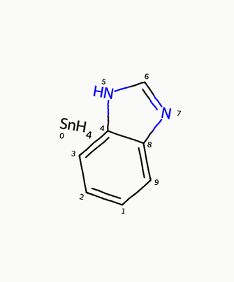 [SnH4].c1ccc2[nH]cnc2c1